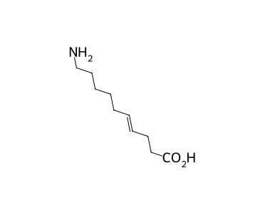 NCCCCC/C=C/CCC(=O)O